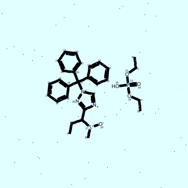 CCC(c1ncn(C(c2ccccc2)(c2ccccc2)c2ccccc2)n1)[S+](C)[O-].CCOP(=O)(O)OCC